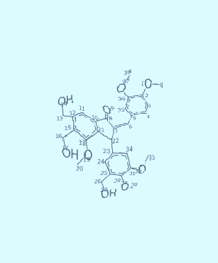 COc1ccc(/C=C2\C(=O)c3cc(CO)c(CO)c(OC)c3C2c2cc(CO)c(OC)c(OC)c2)cc1OC